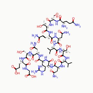 CC(C)[C@H](NC(=O)[C@H](CC(N)=O)NC(=O)[C@H](CCC(N)=O)NC(=O)[C@@H](NC(=O)[C@H](CO)NC(=O)[C@@H](N)CCC(N)=O)[C@@H](C)O)C(=O)N[C@H](C(=O)N[C@H](C(=O)N[C@@H](CC(N)=O)C(=O)N[C@@H](C)C(=O)N[C@@H](CCCNC(=N)N)C(=O)N[C@@H](CC(N)=O)C(=O)N[C@@H](CO)C(=O)N[C@@H](CCC(=O)O)C(=O)NCC(=O)O)C(C)C)[C@@H](C)O